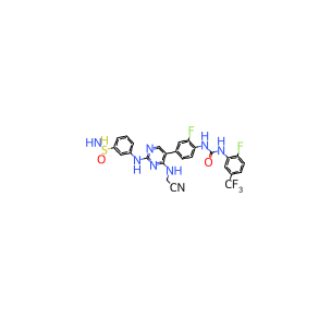 N#CCNc1nc(Nc2cccc([SH](=N)=O)c2)ncc1-c1ccc(NC(=O)Nc2cc(C(F)(F)F)ccc2F)c(F)c1